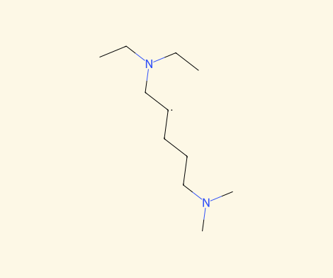 CCN(CC)C[CH]CCCN(C)C